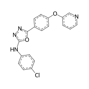 Clc1ccc(Nc2nnc(-c3ccc(Oc4cccnc4)cc3)o2)cc1